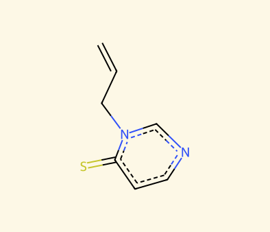 C=CCn1cnccc1=S